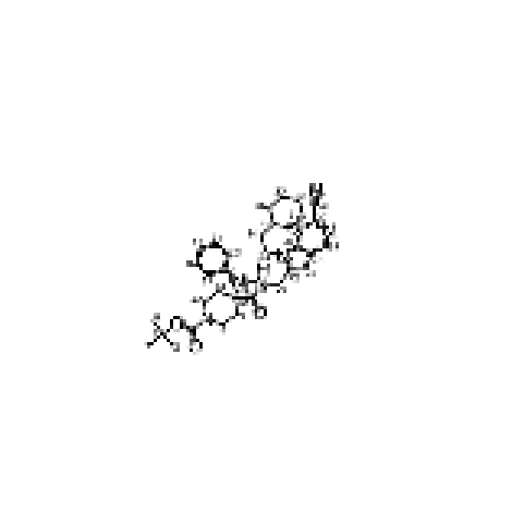 CC(C)(C)OC(=O)N1CCC(Nc2ccccc2)(C(=O)NCc2cc3cnc(C#N)nc3n2CCC2CCCCC2)CC1